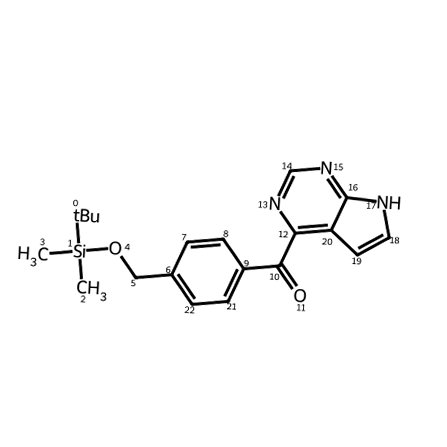 CC(C)(C)[Si](C)(C)OCc1ccc(C(=O)c2ncnc3[nH]ccc23)cc1